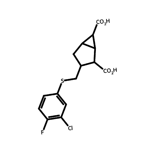 O=C(O)C1C(CSc2ccc(F)c(Cl)c2)CC2C(C(=O)O)C21